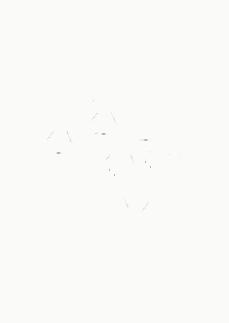 CC(C)[C@H](NC(=O)[C@@H](NC(=O)CC(c1ccccc1)c1cccc(Cl)c1)C1C=CC(Cl)=CC1)C(=O)C(F)(F)F